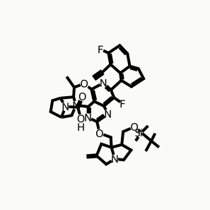 C#Cc1c(F)ccc2cccc(-c3nc4c5c(nc(OCC67CC(=C)CN6CCC7CO[Si](C)(C)C(C)(C)C)nc5c3F)N3CC5CCC(C3C(C)O4)N5C(=O)O)c12